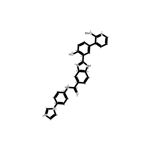 COc1ncccc1-c1ccc(O)c(-c2nc3cc(C(=O)Nc4ccc(-n5ccnc5)cc4)ccc3[nH]2)c1